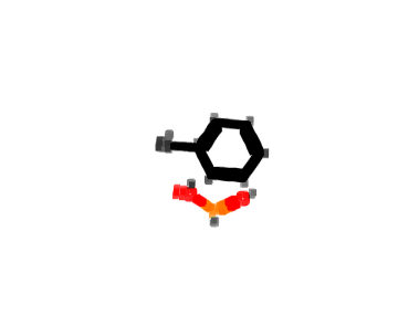 CCc1ccccc1.O=PO